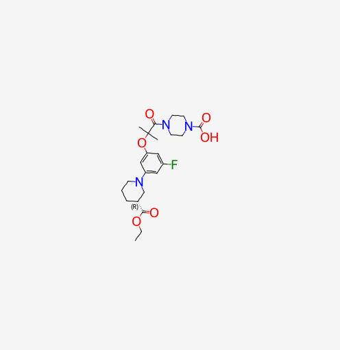 CCOC(=O)[C@@H]1CCCN(c2cc(F)cc(OC(C)(C)C(=O)N3CCN(C(=O)O)CC3)c2)C1